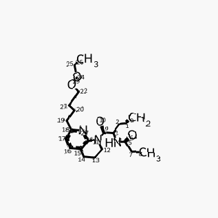 C=CCC(NC(=O)CC)C(=O)N1CCCc2ccc(CCCCOOCC)nc21